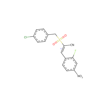 N#C/C(=C\c1ccc([N+](=O)[O-])cc1F)S(=O)(=O)Cc1ccc(Cl)cc1